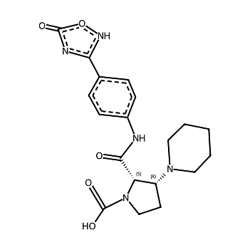 O=C(Nc1ccc(-c2nc(=O)o[nH]2)cc1)[C@@H]1[C@H](N2CCCCC2)CCN1C(=O)O